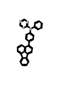 c1ccc(N(c2ccc(-c3ccc4c5c(cccc35)-c3ccccc3-4)cc2)c2ncncn2)cc1